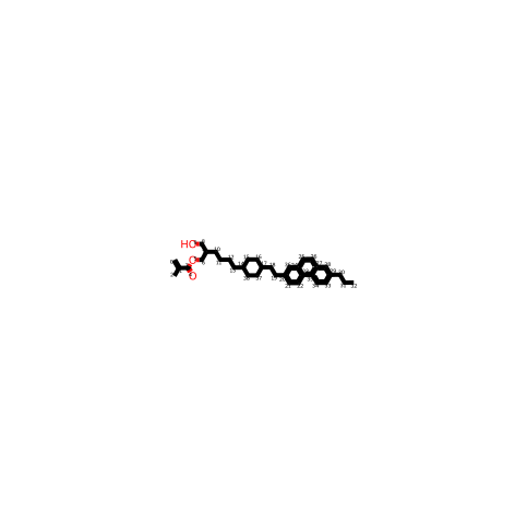 C=C(C)C(=O)OCC(CO)CCCCC1CCC(CCc2ccc3c(ccc4cc(CCC)ccc43)c2)CC1